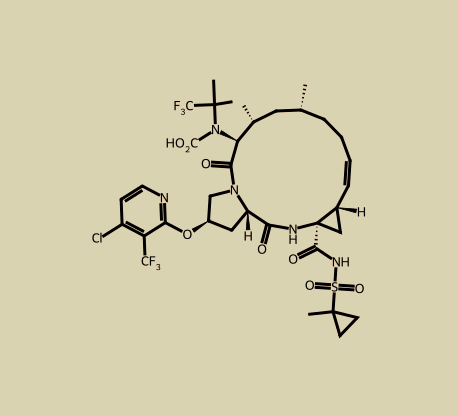 C[C@@H]1CCC=C[C@@H]2C[C@@]2(C(=O)NS(=O)(=O)C2(C)CC2)NC(=O)[C@@H]2C[C@@H](Oc3nccc(Cl)c3C(F)(F)F)CN2C(=O)[C@@H](N(C(=O)O)C(C)(C)C(F)(F)F)[C@H](C)C1